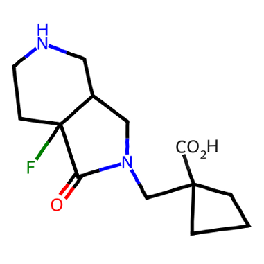 O=C(O)C1(CN2CC3CNCCC3(F)C2=O)CCC1